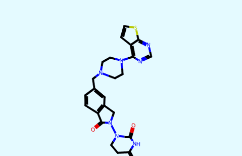 O=C1CCN(N2Cc3cc(CN4CCN(c5ncnc6sccc56)CC4)ccc3C2=O)C(=O)N1